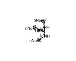 CCCCCCCCCOC(=O)CCSCCCC(=N)NCCCN(CCCNC(=N)CCCSCCC(=O)OCCCCCCCCC)CCCNC(=N)CCSCCC(=O)OCCCCCCCCC